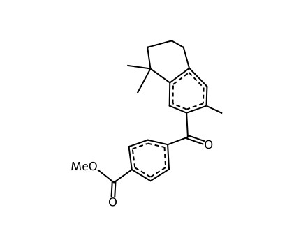 COC(=O)c1ccc(C(=O)c2cc3c(cc2C)CCCC3(C)C)cc1